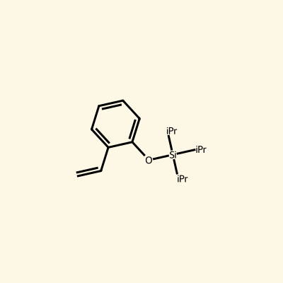 C=Cc1ccccc1O[Si](C(C)C)(C(C)C)C(C)C